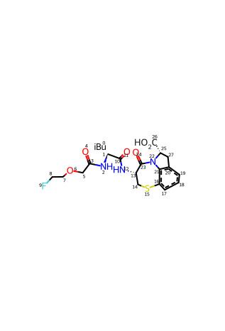 CC[C@H](C)[C@H](NC(=O)COCCF)C(=O)N[C@H]1CSc2cccc3c2N(C1=O)[C@H](C(=O)O)C3